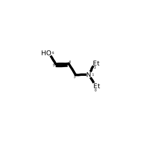 CCN(CC)CC=CO